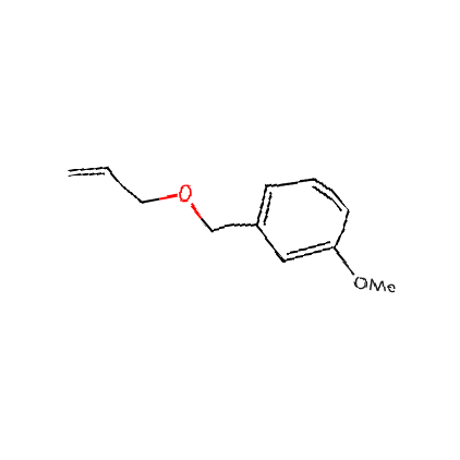 C=CCOCc1cccc(OC)c1